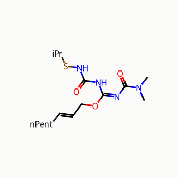 CCCCCC=CCOC(=NC(=O)N(C)C)NC(=O)NSC(C)C